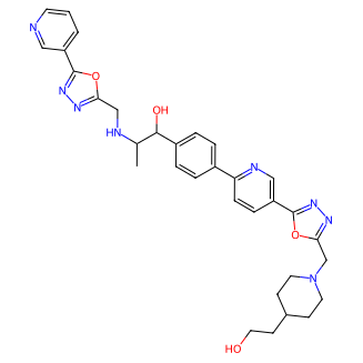 CC(NCc1nnc(-c2cccnc2)o1)C(O)c1ccc(-c2ccc(-c3nnc(CN4CCC(CCO)CC4)o3)cn2)cc1